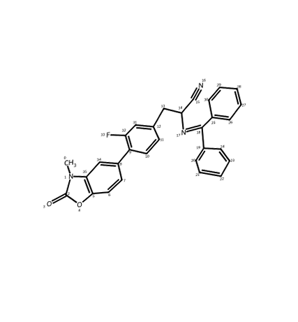 Cn1c(=O)oc2ccc(-c3ccc(CC(C#N)N=C(c4ccccc4)c4ccccc4)cc3F)cc21